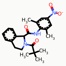 Cc1cc([N+](=O)[O-])cc(C)c1NC(=O)C1c2ccccc2CCN1C(=O)C(C)(C)C